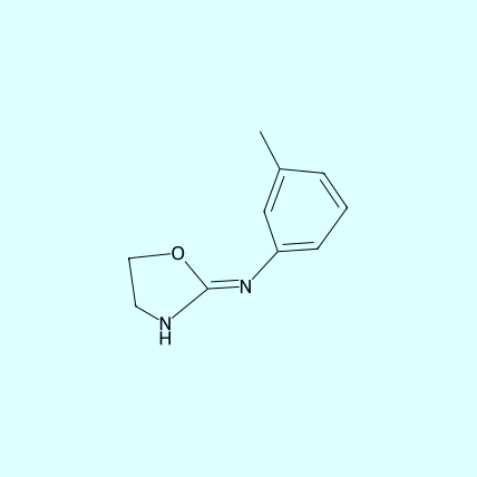 Cc1cccc(N=C2NCCO2)c1